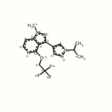 CC(C)n1cc(-c2nn(C)c3ccnc(OCC(F)(F)F)c23)cn1